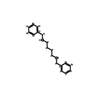 c1ccc(COCCCCOCc2ccccc2)cc1